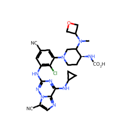 CN(C1COC1)C1CN(c2cc(C#N)cc(Nc3nc(NC4CC4)c4ncc(C#N)n4n3)c2Cl)CC[C@@H]1NC(=O)O